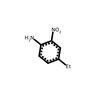 [CH2]Cc1ccc(N)c([N+](=O)[O-])c1